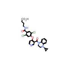 O=C(O)CCCNC(=O)c1cc(Cl)c(Oc2ccncc2C(=O)N2CCN(C3CC3)c3ccccc32)cc1Cl